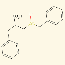 O=C(O)C(Cc1ccccc1)C[S+]([O-])Cc1ccccc1